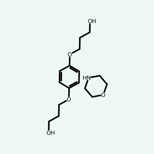 C1COCCN1.OCCCOc1ccc(OCCCO)cc1